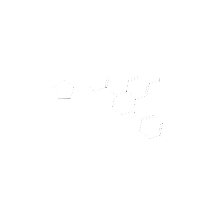 O=C(NC[C@@H]1CCNC1)N1CCN(c2ccc(F)cc2)c2cc(F)ccc21